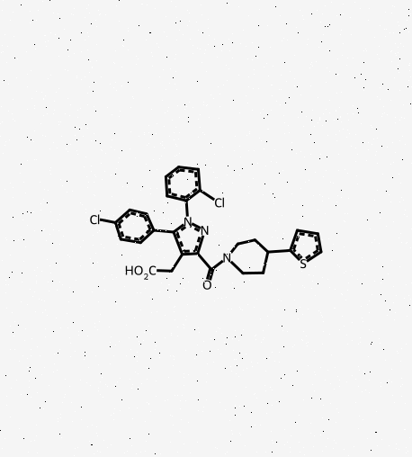 O=C(O)Cc1c(C(=O)N2CCC(c3cccs3)CC2)nn(-c2ccccc2Cl)c1-c1ccc(Cl)cc1